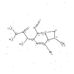 C/C(C(=O)N(C)C)=C(\N=C(\Br)C1CCC1C)N(C)C=O